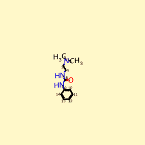 CN(C)CCNC(=O)Nc1ccccc1